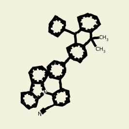 CC1(C)c2ccccc2C(c2ccccc2)c2cc(-c3cccc(-c4cccc(C#N)c4-n4c5ccccc5c5ccccc54)c3)ccc21